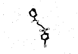 O=C(OCCS(=O)(=O)c1ccc(Br)cc1)c1ccccc1